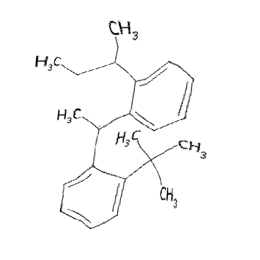 CCC(C)c1ccccc1[C](C)c1ccccc1C(C)(C)C